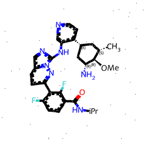 CO[C@H]1[C@H](N)C[C@H](c2ccncc2Nc2ncc3ccc(-c4c(F)ccc(C(=O)NC(C)C)c4F)nn23)C[C@@H]1C